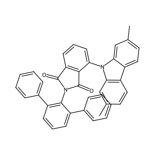 Cc1ccc2c3ccc(C)cc3n(-c3cccc4c3C(=O)N(c3c(-c5ccccc5)cccc3-c3ccccc3)C4=O)c2c1